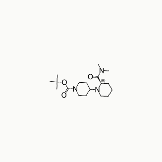 CN(C)C(=O)[C@H]1CCCCN1C1CCN(C(=O)OC(C)(C)C)CC1